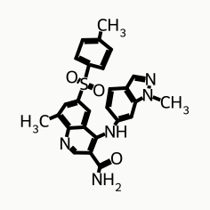 Cc1ccc(S(=O)(=O)c2cc(C)c3ncc(C(N)=O)c(Nc4ccc5cnn(C)c5c4)c3c2)cc1